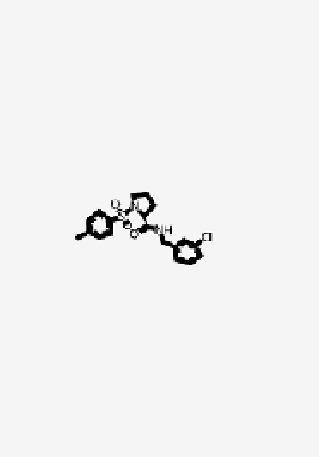 Cc1ccc(S(=O)(=O)N2CCC[C@H]2C(=O)NCc2cccc(Cl)c2)cc1